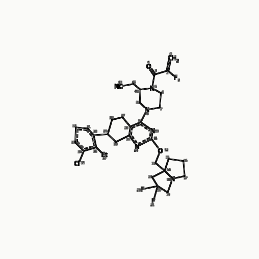 C=C(F)C(=O)N1CCN(c2nc(OCC34CCCN3CC(F)(F)C4)nc3c2CCC(c2cccc(Cl)c2CC)C3)CC1CC#N